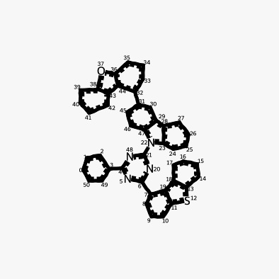 c1ccc(-c2nc(-c3cccc4sc5ccccc5c34)nc(-n3c4ccccc4c4cc(-c5cccc6oc7ccccc7c56)ccc43)n2)cc1